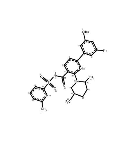 CC(C)COc1cc(F)cc(-c2ccc(C(=O)NS(=O)(=O)c3cccc(N)n3)c(N3CC(C(F)(F)F)CCC3C)n2)c1